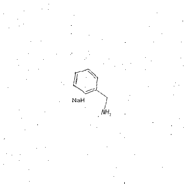 NCc1ccccc1.[NaH]